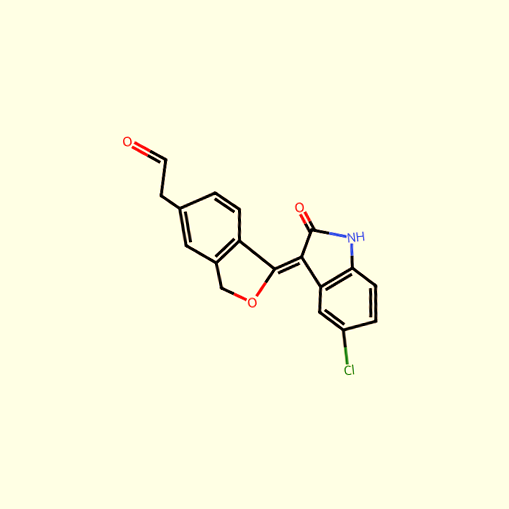 O=CCc1ccc2c(c1)COC2=C1C(=O)Nc2ccc(Cl)cc21